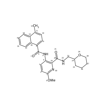 COc1ccc(NC(=O)c2ccc(C)c3ccccc23)c(C(=O)NCC2CCCCO2)n1